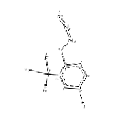 [N-]=[N+]=NCc1ccc(F)cc1C(F)(F)F